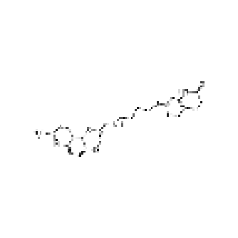 Cc1ccc2c3c(ccc2n1)OC[C@H](CNCCCCOc1ccc2c(c1)NC(=O)CO2)O3